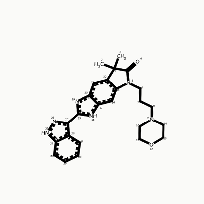 CC1(C)C(=O)N(CCCN2CCOCC2)c2cc3[nH]c(-c4n[nH]c5ccccc45)nc3cc21